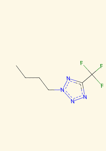 CCCCn1nnc(C(F)(F)F)n1